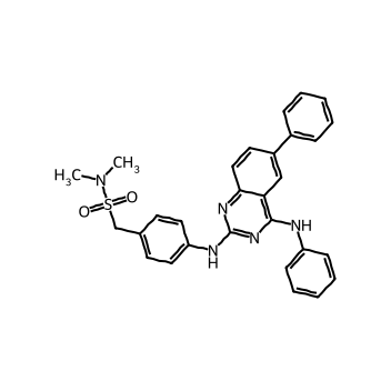 CN(C)S(=O)(=O)Cc1ccc(Nc2nc(Nc3ccccc3)c3cc(-c4ccccc4)ccc3n2)cc1